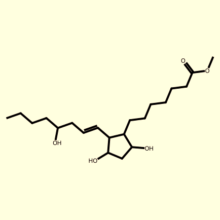 CCCCC(O)CC=CC1C(O)CC(O)C1CCCCCCC(=O)OC